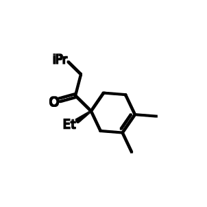 CC[C@@]1(C(=O)CC(C)C)CCC(C)=C(C)C1